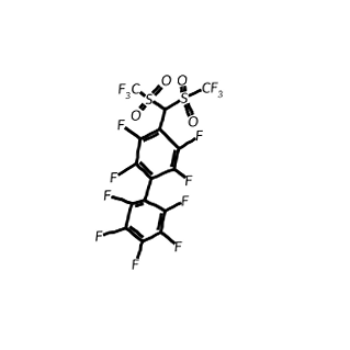 O=S(=O)(C(c1c(F)c(F)c(-c2c(F)c(F)c(F)c(F)c2F)c(F)c1F)S(=O)(=O)C(F)(F)F)C(F)(F)F